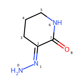 N/N=C1\CCCNC1=O